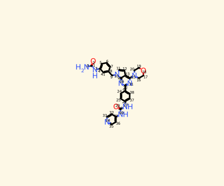 NC(=O)Nc1cccc(Cn2ccc3c(N4CCOCC4)nc(-c4ccc(NC(=O)Nc5ccncc5)cc4)nc32)c1